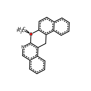 COc1ccc2ccccc2c1Cc1c(OC)ncc2ccccc12